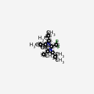 Cc1ccc(-c2ccc3c(c2)c2cc(-c4ccccc4C)ccc2n3-c2cc(-c3cc(F)cc(F)c3)cc(-n3c4ccc(-c5ccc(C)cc5C)cc4c4cc(-c5ccc(C)cc5C)ccc43)c2C#N)c(C)c1